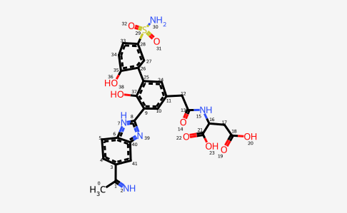 CC(=N)c1ccc2[nH]c(-c3cc(CC(=O)NC(CC(=O)O)C(=O)O)cc(-c4cc(S(N)(=O)=O)ccc4O)c3O)nc2c1